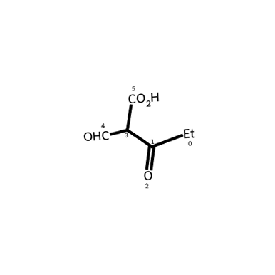 CCC(=O)C(C=O)C(=O)O